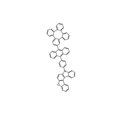 c1ccc2c(c1)-c1ccccc1-c1ccc(-c3c4ccccc4c(-c4ccc(-n5c6ccccc6c6c7c(ccc65)oc5ccccc57)cc4)c4ccccc34)cc1-c1ccccc1-2